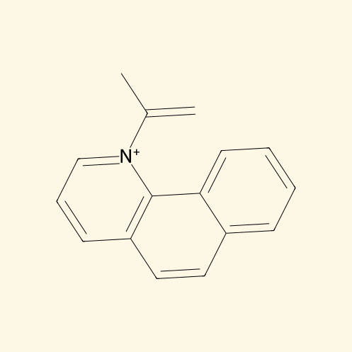 C=C(C)[n+]1cccc2ccc3ccccc3c21